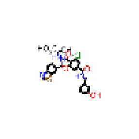 C[C@H](NN(C(=O)c1ccc2ncsc2c1)C(=O)c1ccc(C(=O)NCc2cccc(O)c2)cc1Cl)C(=O)O